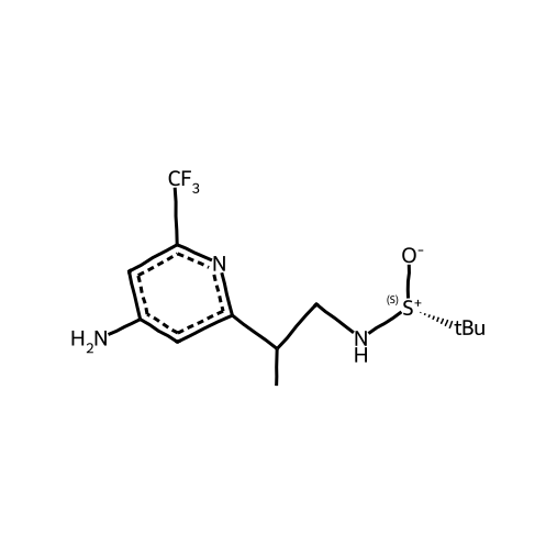 CC(CN[S@+]([O-])C(C)(C)C)c1cc(N)cc(C(F)(F)F)n1